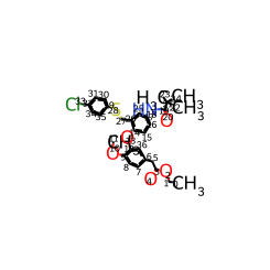 CCOC(=O)Cc1ccc(OC)c(Oc2ccc(NC(=O)C(C)(C)C)cc2CSc2ccc(Cl)cc2)c1